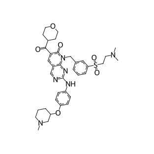 CN(C)CCS(=O)(=O)c1cccc(Cn2c(=O)c(C(=O)C3CCOCC3)cc3cnc(Nc4ccc(OC5CCCN(C)C5)cc4)nc32)c1